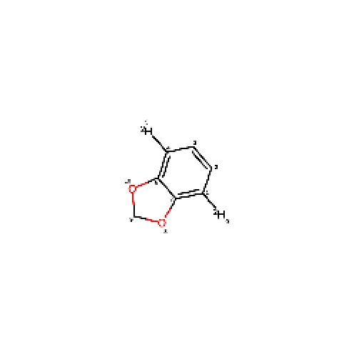 [2H]c1ccc([2H])c2c1OCO2